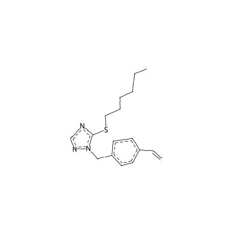 C=Cc1ccc(Cn2ncnc2SCCCCCC)cc1